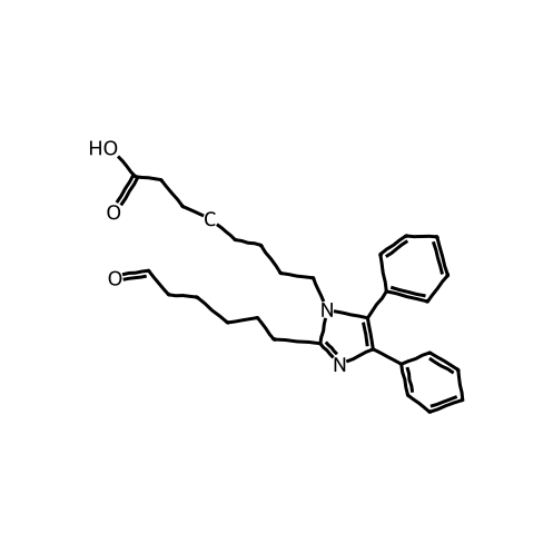 O=CCCCCCc1nc(-c2ccccc2)c(-c2ccccc2)n1CCCCCCCC(=O)O